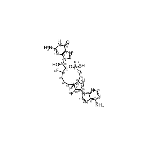 Nc1nc2c(ncn2[C@H](O)[C@@H]2OP(=S)(S)OC[C@H]3O[C@@H](n4cnc5c(N)ncnc54)[C@@H](F)[C@@H]3CCCC2F)c(=O)[nH]1